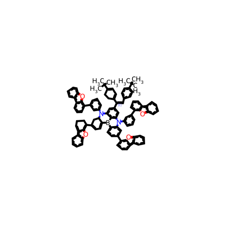 CC(C)(C)C1=CC=C(/C(=C\c2ccc(C(C)(C)C)cc2)c2cc3c4c(c2)N(c2cccc(-c5cccc6c5oc5ccccc56)c2)C2CC(C5=c6oc7ccccc7c6=CCC5)=CC=C2B4c2ccc(-c4cccc5c4oc4ccccc45)cc2N3c2cccc(-c3cccc4c3oc3ccccc34)c2)CC1